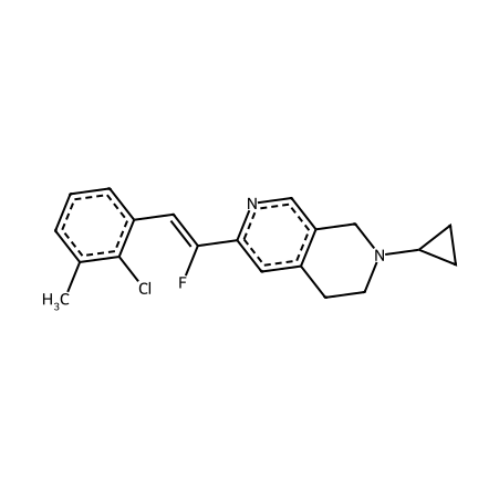 Cc1cccc(/C=C(\F)c2cc3c(cn2)CN(C2CC2)CC3)c1Cl